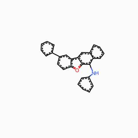 c1ccc(Nc2c3ccccc3cc3c2oc2ccc(-c4ccccc4)cc23)cc1